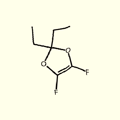 CCC1(CC)OC(F)=C(F)O1